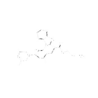 COCCNC(=O)c1cc2c(C)cc(N3CC(C)NC(C)C3)nc2n2c1nc1ccccc12